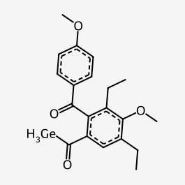 CCc1cc([C](=O)[GeH3])c(C(=O)c2ccc(OC)cc2)c(CC)c1OC